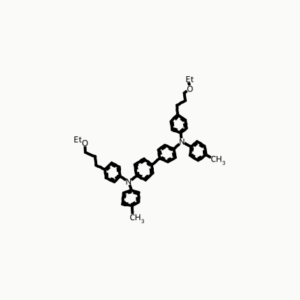 CCOCCCc1ccc(N(c2ccc(C)cc2)c2ccc(-c3ccc(N(c4ccc(C)cc4)c4ccc(CCCOCC)cc4)cc3)cc2)cc1